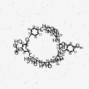 CN[C@H]1Cc2cc(c(O)c([N+](=O)[O-])c2)Oc2ccc(cc2)C[C@@H](C=O)NC(=O)[C@H](C)NC(=O)[C@H](Cc2ccc(OC)cc2)N(C)C(=O)[C@H](C)NC(=O)[C@@H](C)NC1=O